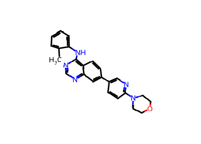 Cc1ccccc1Nc1ncnc2cc(-c3ccc(N4CCOCC4)nc3)ccc12